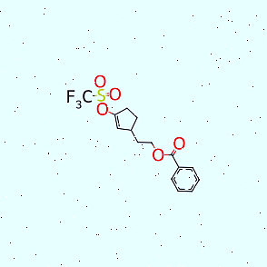 O=C(OCCC1C=C(OS(=O)(=O)C(F)(F)F)CC1)c1ccccc1